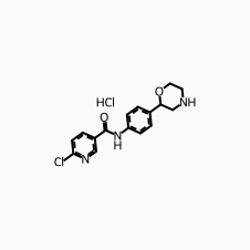 Cl.O=C(Nc1ccc(C2CNCCO2)cc1)c1ccc(Cl)nc1